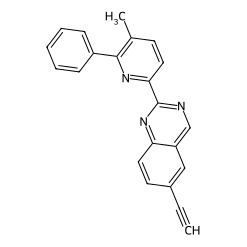 C#Cc1ccc2nc(-c3ccc(C)c(-c4ccccc4)n3)ncc2c1